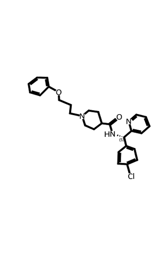 O=C(N[C@@H](c1ccc(Cl)cc1)c1ccccn1)C1CCN(CCCOc2ccccc2)CC1